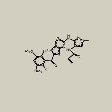 C=CC(=O)Nc1cn(C)nc1Nc1ncc2[nH]c(C(=O)c3c(Cl)c(OC)cc(OC)c3Cl)cc2n1